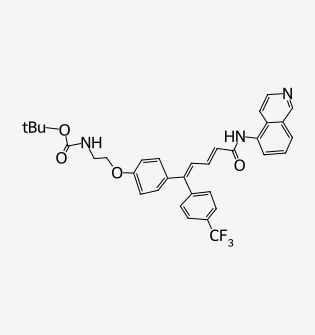 CC(C)(C)OC(=O)NCCOc1ccc(/C(=C/C=C/C(=O)Nc2cccc3cnccc23)c2ccc(C(F)(F)F)cc2)cc1